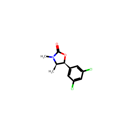 C[C@@H]1[C@H](c2cc(Cl)cc(Cl)c2)OC(=O)N1C